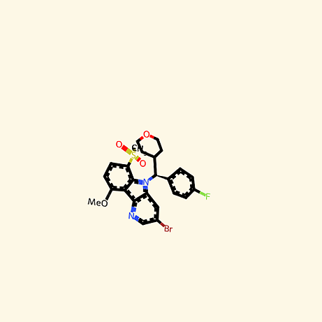 COc1ccc(S(C)(=O)=O)c2c1c1ncc(Br)cc1n2[C@H](c1ccc(F)cc1)C1CCOCC1